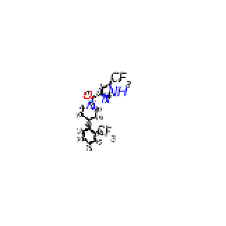 O=C(c1cc(C(F)(F)F)[nH]n1)N1CCC(c2ccccc2C(F)(F)F)CC1